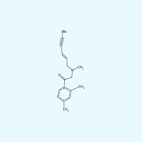 Cc1ccc(C(=O)CN(C)CC=CC#CC(C)(C)C)c(C)c1